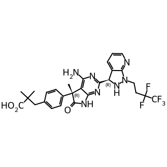 CC(C)(Cc1ccc([C@@]2(C)C(=O)Nc3nc([C@@H]4NN(CCC(F)(F)C(F)(F)F)c5ncccc54)nc(N)c32)cc1)C(=O)O